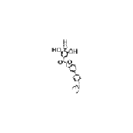 CCN(CC)Cc1ccc(-c2ccc3oc(C(=O)c4cc(O)c(O)c(O)c4)cc3c2)cc1